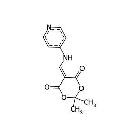 CC1(C)OC(=O)C(=CNc2ccncc2)C(=O)O1